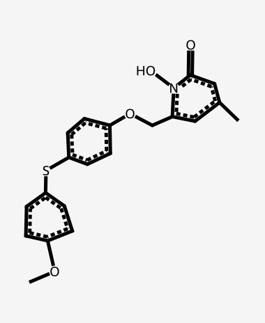 COc1ccc(Sc2ccc(OCc3cc(C)cc(=O)n3O)cc2)cc1